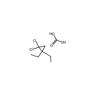 CCC1(CC)CC1(Cl)Cl.O=C(O)O